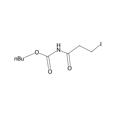 CCCCOC(=O)NC(=O)CCI